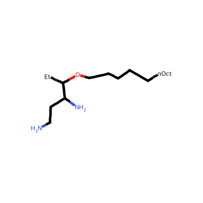 CCCCCCCCCCCCCOC(CC)C(N)CCN